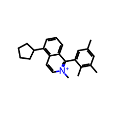 Cc1cc(C)c(C)c(-c2c3cccc(C4CCCC4)c3cc[n+]2C)c1